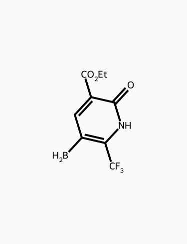 Bc1cc(C(=O)OCC)c(=O)[nH]c1C(F)(F)F